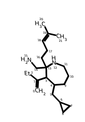 C=C(CC)C1C(CC2CC2)CCCNC1(CN)CCC=C(C)C